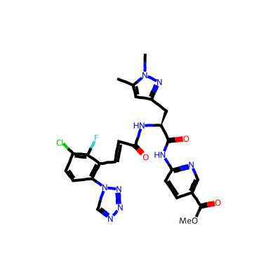 COC(=O)c1ccc(NC(=O)[C@H](Cc2cc(C)n(C)n2)NC(=O)C=Cc2c(-n3cnnn3)ccc(Cl)c2F)nc1